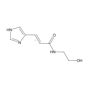 O=C(/C=C/c1c[nH]cn1)NCCO